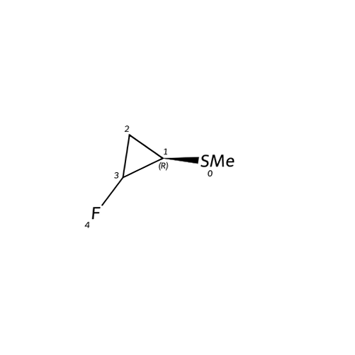 CS[C@@H]1CC1F